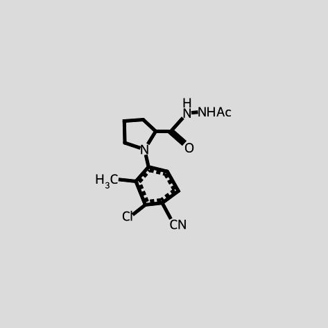 CC(=O)NNC(=O)C1CCCN1c1ccc(C#N)c(Cl)c1C